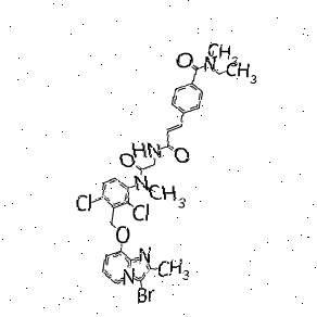 CCN(C)C(=O)c1ccc(C=CC(=O)NCC(=O)N(C)c2ccc(Cl)c(COc3cccn4c(Br)c(C)nc34)c2Cl)cc1